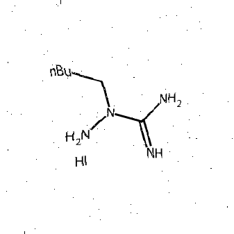 CCCCCN(N)C(=N)N.I